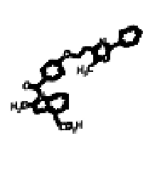 Cc1oc(-c2ccccc2)nc1CCOc1ccc(C(=O)n2c(C)cc3c(CC(=O)O)cccc32)cc1